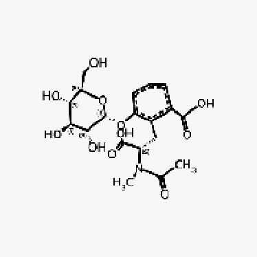 CC(=O)N(C)[C@@H](Cc1c(O[C@H]2O[C@H](CO)[C@@H](O)[C@H](O)[C@H]2O)cccc1C(=O)O)C(=O)O